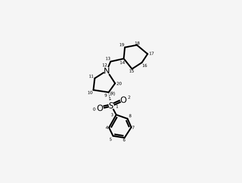 O=S(=O)(c1ccccc1)[C@@H]1CCN(CC2CCCCC2)C1